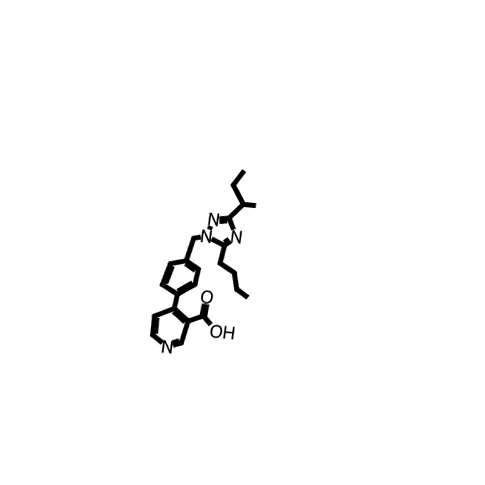 CCCCc1nc(C(C)CC)nn1Cc1ccc(-c2ccncc2C(=O)O)cc1